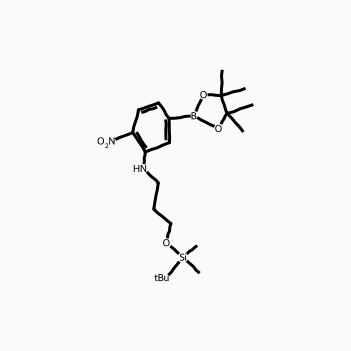 CC1(C)OB(c2ccc([N+](=O)[O-])c(NCCCO[Si](C)(C)C(C)(C)C)c2)OC1(C)C